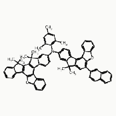 Cc1cc(C)c(N(c2ccc3c(c2)C(C)(C)c2cc(-c4ccc5ccccc5c4)c4oc5ccccc5c4c2-3)c2ccc3c(c2)C(C)(C)c2c4c(c5oc6ccccc6c5c2-3)-c2ccccc2C4(C)C)c(C)c1